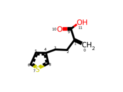 C=C(CCc1ccsc1)C(=O)O